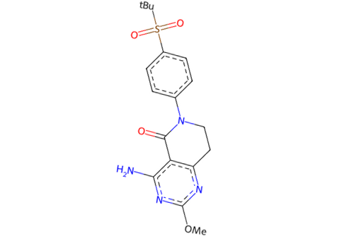 COc1nc(N)c2c(n1)CCN(c1ccc(S(=O)(=O)C(C)(C)C)cc1)C2=O